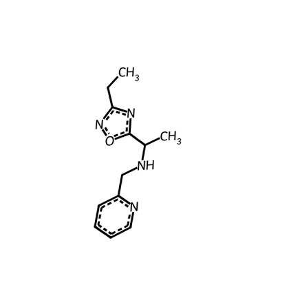 CCc1noc(C(C)NCc2ccccn2)n1